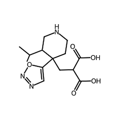 CC(C)C1CNCCC1(CC(C(=O)O)C(=O)O)c1cnno1